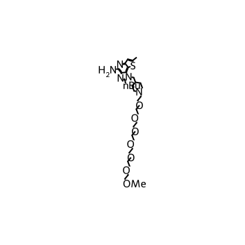 CCCCc1nc2c(N)nc3cc(C)sc3c2n1CC1CCN(CCOCCOCCOCCOCCOCCOCCOC)CC1